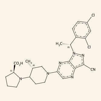 C[C@@H]1CN(c2cnc3c(C#N)nn([C@H](C)c4ccc(Cl)cc4Cl)c3n2)CCC1N1CCC[C@H]1C(=O)O